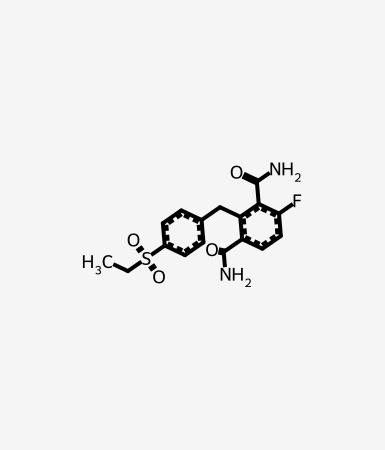 CCS(=O)(=O)c1ccc(Cc2c(C(N)=O)ccc(F)c2C(N)=O)cc1